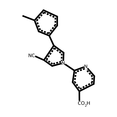 Cc1cccc(-c2cn(-c3cc(C(=O)O)ccn3)cc2C#N)c1